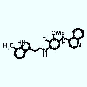 COc1c(Nc2ccnc3ccccc23)ccc(NCCc2c[nH]c3c(C)cccc23)c1F